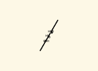 CCCCCCCCCCCCCCCC(=O)N[C@@H](CCCCNC(=O)CCCCCNC(=O)CCCCCCCCCCCCC)C(C)C